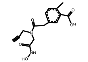 C#CCN(CC(=O)NO)C(=O)Cc1ccc(C)c(C(=O)O)c1